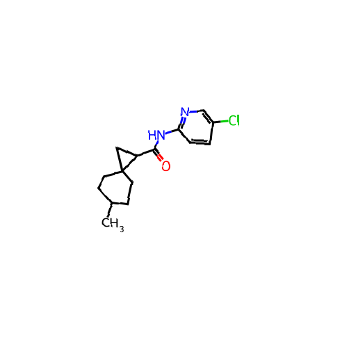 CC1CCC2(CC1)CC2C(=O)Nc1ccc(Cl)cn1